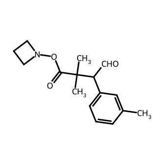 Cc1cccc(C(C=O)C(C)(C)C(=O)ON2CCC2)c1